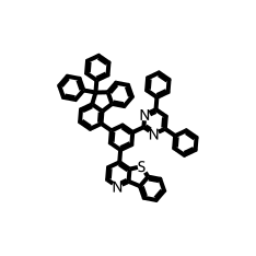 c1ccc(-c2cc(-c3ccccc3)nc(-c3cc(-c4cccc5c4-c4ccccc4C5(c4ccccc4)c4ccccc4)cc(-c4ccnc5c4sc4ccccc45)c3)n2)cc1